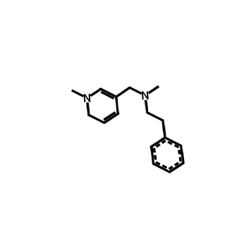 CN1C=C(CN(C)CCc2ccccc2)C=CC1